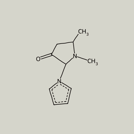 CC1CC(=O)C(n2cccc2)N1C